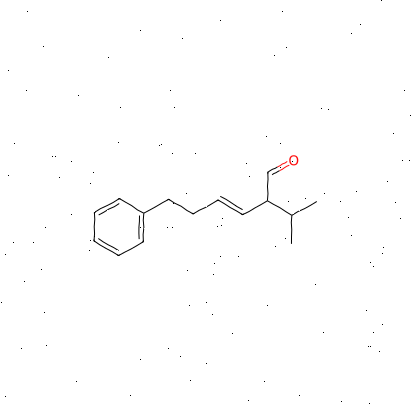 CC(C)C(C=O)C=CCCc1ccccc1